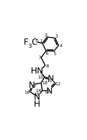 FC(F)(F)c1ccccc1CCNC1=NC=NC2NC=NC12